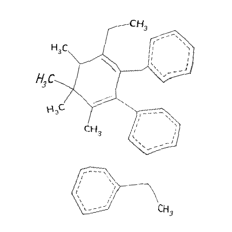 CCC1=C(c2ccccc2)C(c2ccccc2)=C(C)C(C)(C)C1C.CCc1ccccc1